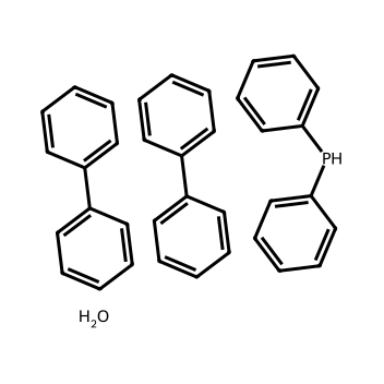 O.c1ccc(-c2ccccc2)cc1.c1ccc(-c2ccccc2)cc1.c1ccc(Pc2ccccc2)cc1